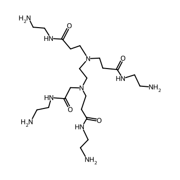 NCCNC(=O)CCN(CCC(=O)NCCN)CCN(CCC(=O)NCCN)CC(=O)NCCN